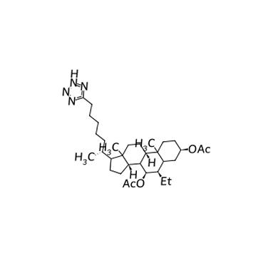 CC[C@@H]1C2C[C@H](OC(C)=O)CCC2(C)[C@H]2CCC3(C)C([C@H](C)CCCCCc4nn[nH]n4)CC[C@H]3C2[C@@H]1OC(C)=O